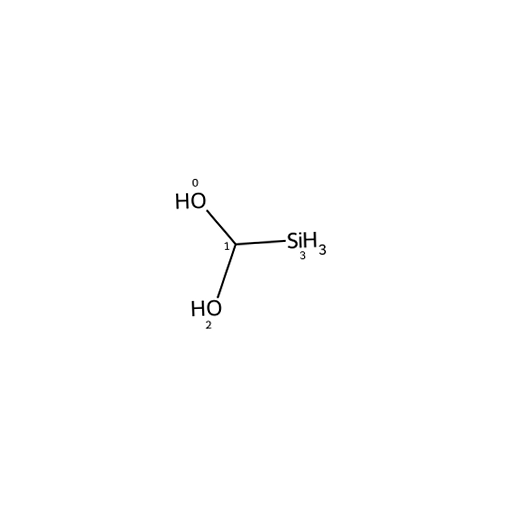 OC(O)[SiH3]